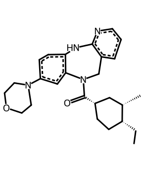 CC[C@@H]1CC[C@H](C(=O)N2Cc3cccnc3Nc3ccc(N4CCOCC4)cc32)C[C@@H]1C